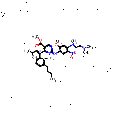 CCCCc1cccc(/C(=C\C(C)C)c2nc(Nc3cc([N+](=O)[O-])c(N(C)CCN(C)C)cc3OC)ncc2C(=O)OC)c1C